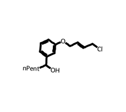 CCCCCC(O)c1cccc(OC/C=C/CCl)c1